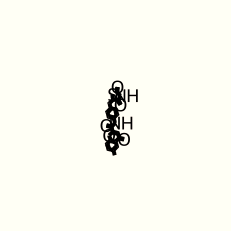 Cc1ccc2oc(C(=O)Nc3ccc(CC4SC(=O)NC4=O)cc3)cc(=O)c2c1